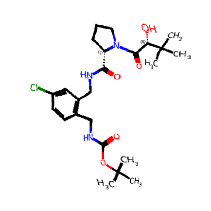 CC(C)(C)OC(=O)NCc1ccc(Cl)cc1CNC(=O)[C@@H]1CCCN1C(=O)[C@H](O)C(C)(C)C